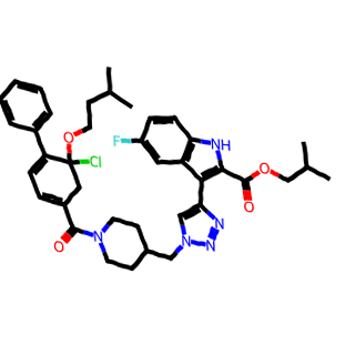 CC(C)CCOC1(Cl)CC(C(=O)N2CCC(Cn3cc(-c4c(C(=O)OCC(C)C)[nH]c5ccc(F)cc45)nn3)CC2)=CC=C1c1ccccc1